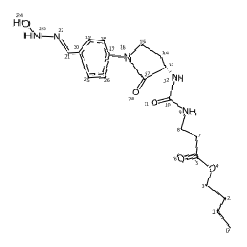 CCCCOC(=O)CCNC(=O)N[C@H]1CCN(c2ccc(C=NNO)cc2)C1=O